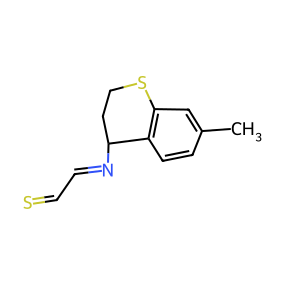 Cc1ccc2c(c1)SCCC2N=CC=S